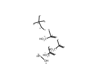 C=C(C)C(=O)O.C=C(C)C(=O)O.C=C(C)C(=O)O.CCC(C)(C)C.CCCO